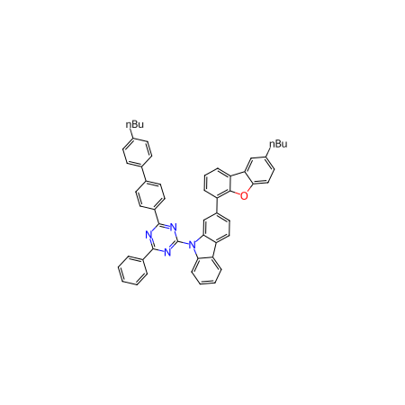 CCCCc1ccc(-c2ccc(-c3nc(-c4ccccc4)nc(-n4c5ccccc5c5ccc(-c6cccc7c6oc6ccc(CCCC)cc67)cc54)n3)cc2)cc1